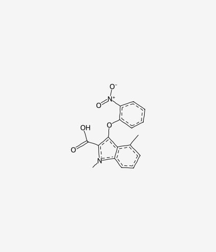 Cc1cccc2c1c(Oc1ccccc1[N+](=O)[O-])c(C(=O)O)n2C